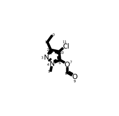 CCc1nn(C)c(OC=O)c1Cl